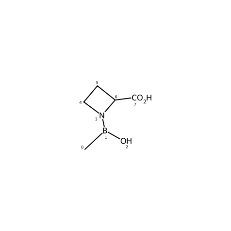 CB(O)N1CCC1C(=O)O